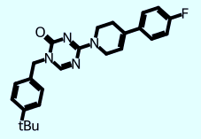 CC(C)(C)c1ccc(Cn2cnc(N3CC=C(c4ccc(F)cc4)CC3)nc2=O)cc1